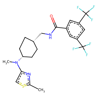 Cc1nc(N(C)[C@H]2CC[C@@H](CNC(=O)c3cc(C(F)(F)F)cc(C(F)(F)F)c3)CC2)cs1